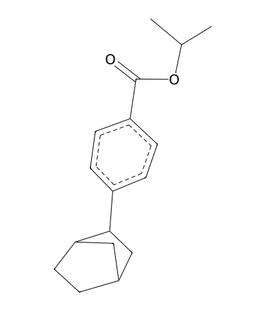 CC(C)OC(=O)c1ccc(C2CC3CCC2C3)cc1